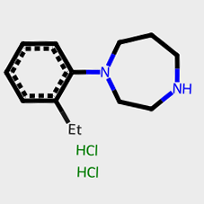 CCc1ccccc1N1CCCNCC1.Cl.Cl